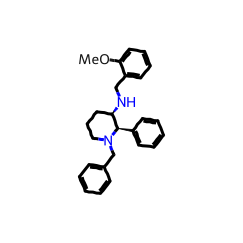 COc1ccccc1CN[C@@H]1CCCN(Cc2ccccc2)[C@@H]1c1ccccc1